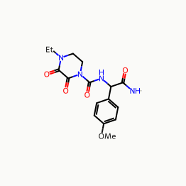 CCN1CCN(C(=O)NC(C([NH])=O)c2ccc(OC)cc2)C(=O)C1=O